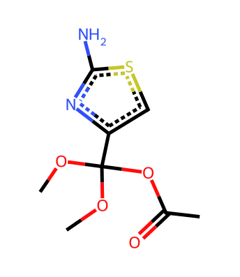 COC(OC)(OC(C)=O)c1csc(N)n1